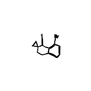 C=C1c2c(Br)cccc2CCC12CC2